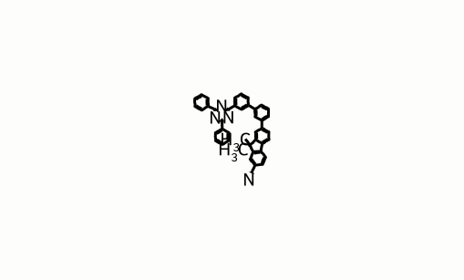 CC1(C)c2cc(C#N)ccc2-c2ccc(-c3cccc(-c4cccc(-c5nc(-c6ccccc6)nc(-c6ccccc6)n5)c4)c3)cc21